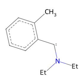 CCN([C]c1ccccc1C)CC